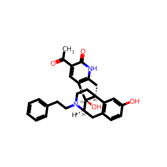 CC(=O)c1cc2c([nH]c1=O)C[C@]13CCN(CCc4ccccc4)[C@H](Cc4ccc(O)cc41)[C@]3(O)C2